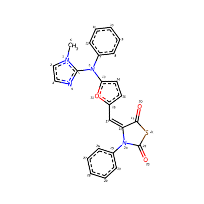 Cn1ccnc1N(c1ccccc1)c1ccc(/C=C2\C(=O)SC(=O)N2c2ccccc2)o1